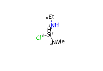 CCN[SiH](Cl)NC